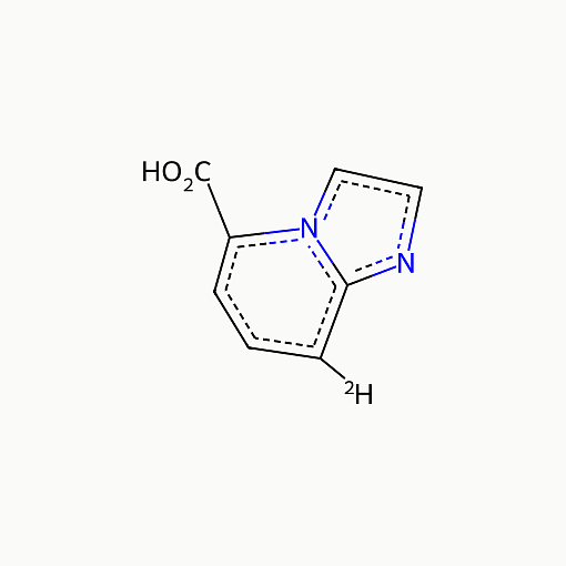 [2H]c1ccc(C(=O)O)n2ccnc12